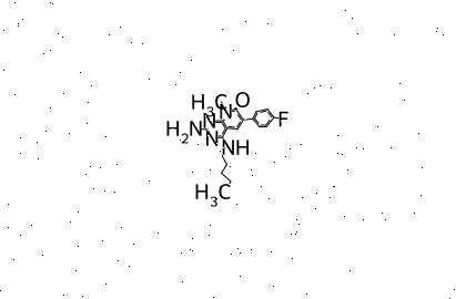 CCCCCNc1nc(N)nc2c1cc(-c1ccc(F)cc1)c(=O)n2C